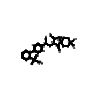 CS(=O)(=O)c1ccccc1-c1ccc(C(=O)CN2C(=O)NC3(CCC(F)(F)CC3)C2=O)cc1